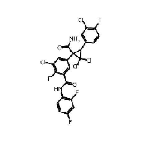 NC(=O)C1(c2cc(Cl)c(F)c(C(=O)Nc3ccc(F)cc3F)c2)C(c2ccc(F)c(Cl)c2)C1(Cl)Cl